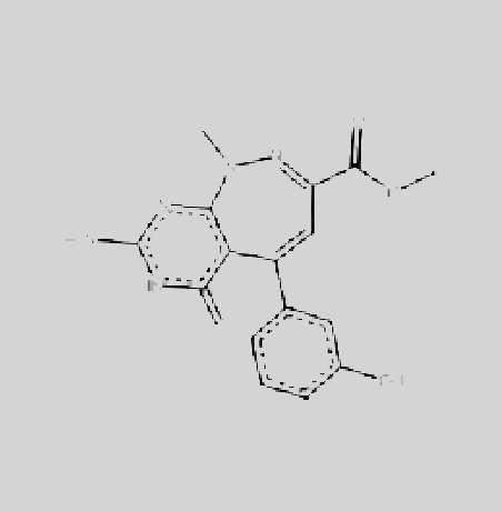 COC(=O)C1=NN(C)c2nc(N)[nH]c(=O)c2C(c2cccc(O)c2)=C1